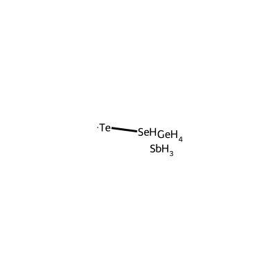 [GeH4].[SbH3].[SeH][Te]